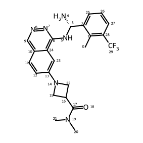 Cc1c([C@@H](N)Nc2nncc3ccc(N4CC(C(=O)N(C)C)C4)cc23)cccc1C(F)(F)F